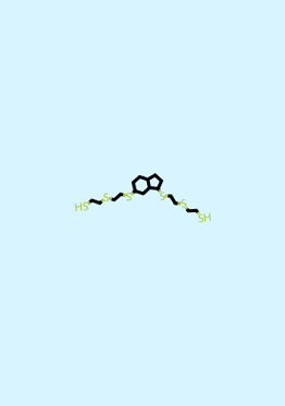 SCCSCCSC1CCC2CCC(SCCSCCS)C2C1